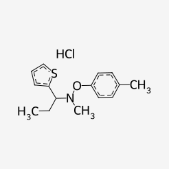 CCC(c1cccs1)N(C)Oc1ccc(C)cc1.Cl